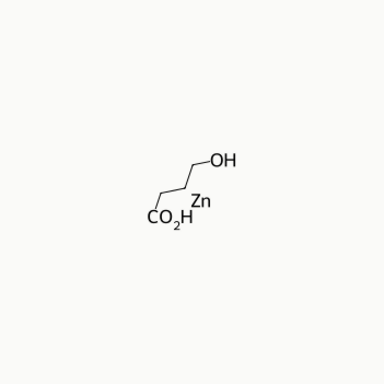 O=C(O)CCCO.[Zn]